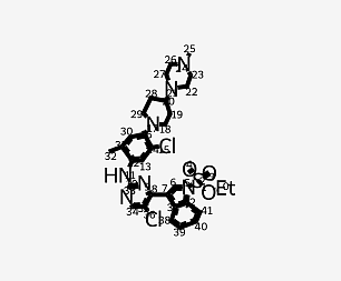 CCOS(=O)(=O)n1cc(-c2nc(Nc3cc(Cl)c(N4CCC(N5CCN(C)CC5)CC4)cc3C)ncc2Cl)c2ccccc21